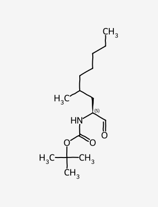 CCCCCC(C)C[C@@H](C=O)NC(=O)OC(C)(C)C